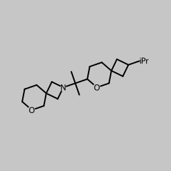 CC(C)C1CC2(CCC(C(C)(C)N3CC4(CCCOC4)C3)OC2)C1